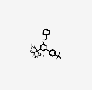 CCC(C)(C(=O)O)c1cc(OCc2ccccc2)cc(-c2ccc(C(F)(F)F)cc2)c1